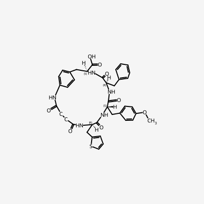 COc1ccc(C[C@@H]2NC(=O)[C@@H](Cc3cccs3)NC(=O)CCC(=O)Nc3ccc(cc3)C[C@@H](C(=O)O)NC(=O)[C@@H](Cc3ccccc3)NC2=O)cc1